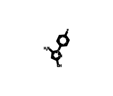 Nc1cc(O)nn1-c1ccc(F)cc1